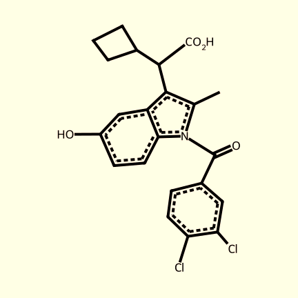 Cc1c(C(C(=O)O)C2CCC2)c2cc(O)ccc2n1C(=O)c1ccc(Cl)c(Cl)c1